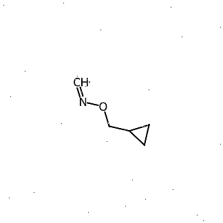 [CH]=NOCC1CC1